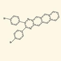 Brc1ccc(-c2nc3cc4cc5ccccc5cc4cc3nc2-c2ccc(Br)cc2)cc1